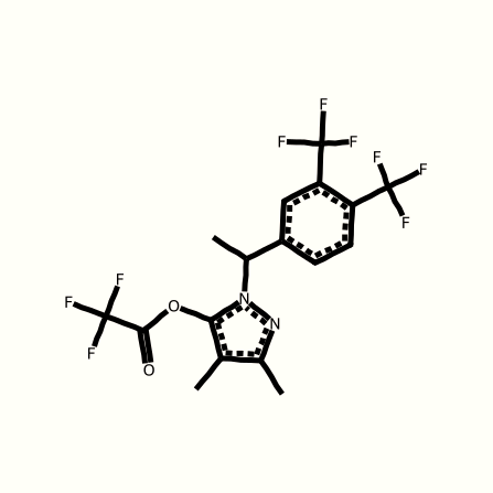 Cc1nn(C(C)c2ccc(C(F)(F)F)c(C(F)(F)F)c2)c(OC(=O)C(F)(F)F)c1C